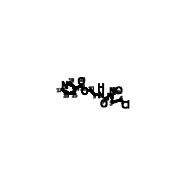 O=NN(CCCl)C(=O)NCCOC(=O)c1cccnc1